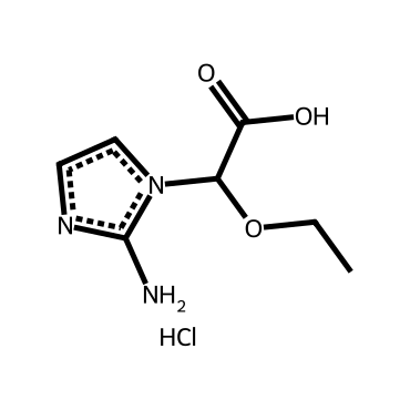 CCOC(C(=O)O)n1ccnc1N.Cl